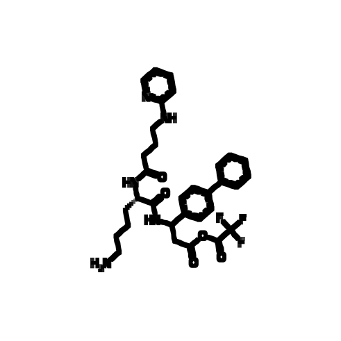 NCCCC[C@H](NC(=O)CCCNc1ccccn1)C(=O)NC(CC(=O)OC(=O)C(F)(F)F)c1ccc(-c2ccccc2)cc1